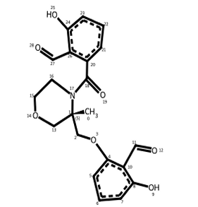 C[C@@]1(COc2cccc(O)c2C=O)COCCN1C(=O)c1cccc(O)c1C=O